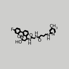 Cc1ccnc(NCCCC(=O)NCC(=O)NC(CC(=O)O)c2cccc(-c3ccc(F)cc3O)c2)c1